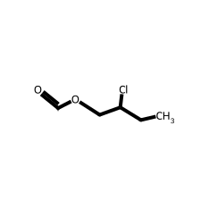 CCC(Cl)CO[C]=O